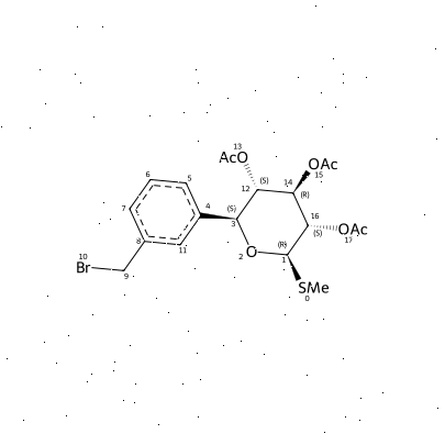 CS[C@H]1O[C@@H](c2cccc(CBr)c2)[C@H](OC(C)=O)[C@@H](OC(C)=O)[C@@H]1OC(C)=O